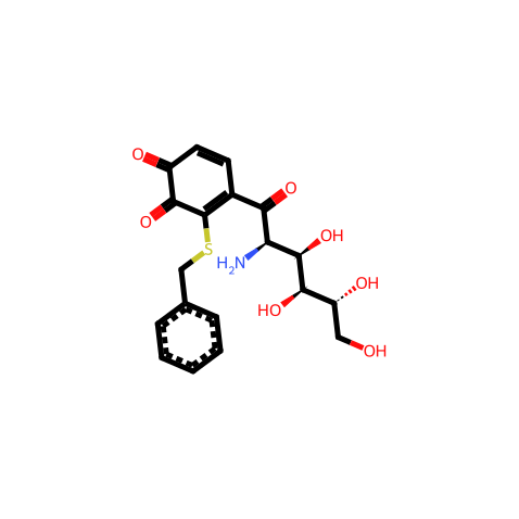 N[C@@H](C(=O)C1=C(SCc2ccccc2)C(=O)C(=O)C=C1)[C@@H](O)[C@H](O)[C@H](O)CO